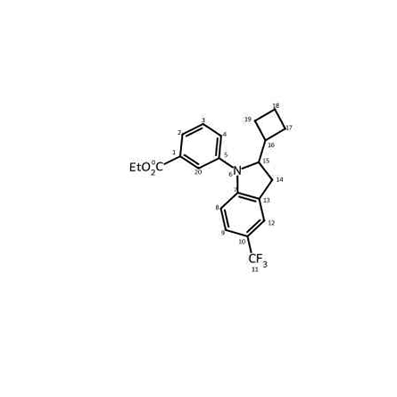 CCOC(=O)c1cccc(N2c3ccc(C(F)(F)F)cc3CC2C2CCC2)c1